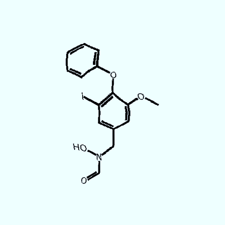 COc1cc(CN(O)C=O)cc(I)c1Oc1ccccc1